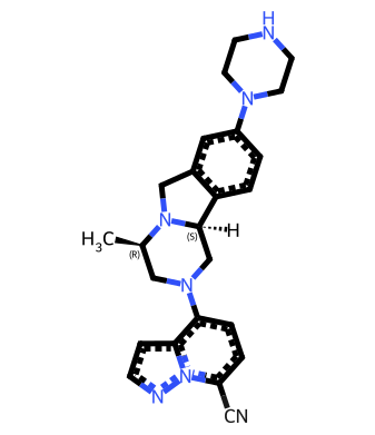 C[C@@H]1CN(c2ccc(C#N)n3nccc23)C[C@@H]2c3ccc(N4CCNCC4)cc3CN12